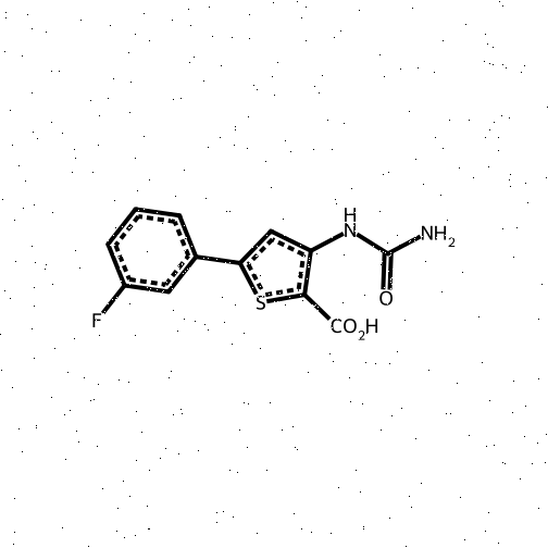 NC(=O)Nc1cc(-c2cccc(F)c2)sc1C(=O)O